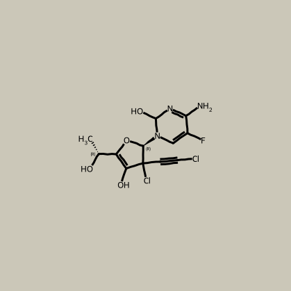 C[C@@H](O)C1=C(O)C(Cl)(C#CCl)[C@H](N2C=C(F)C(N)=NC2O)O1